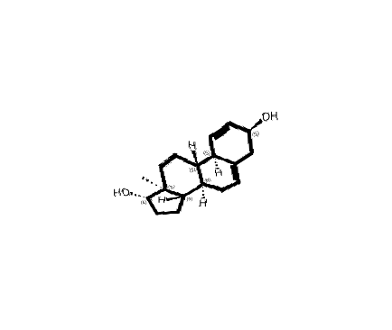 C[C@]12CC[C@H]3[C@@H](CC=C4C[C@H](O)C=C[C@@H]43)[C@@H]1CC[C@@H]2O